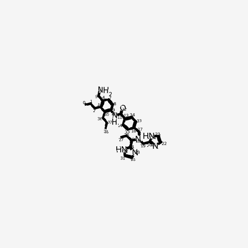 CCCc1c(CN)ccc(NC(=O)c2ccc(CN(Cc3ncc[nH]3)C(CC)c3ncc[nH]3)cc2)c1CCC